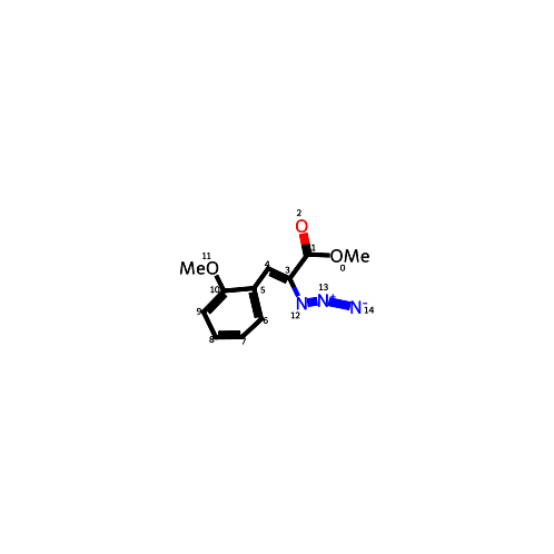 COC(=O)/C(=C/c1ccccc1OC)N=[N+]=[N-]